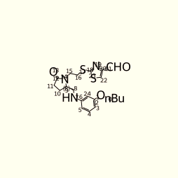 CCCCOc1cccc(NC[C@H]2CCC(=O)N2CCSc2nc(C=O)cs2)c1